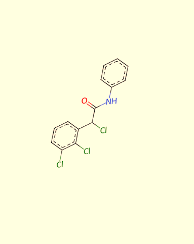 O=C(Nc1ccccc1)C(Cl)c1cccc(Cl)c1Cl